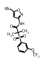 CC(C)(C)c1cc(NC(=O)C(C)(C)S(=O)(=O)c2cccc(OC(F)(F)F)c2)no1